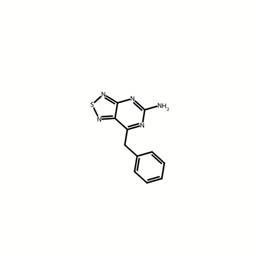 Nc1nc(Cc2ccccc2)c2nsnc2n1